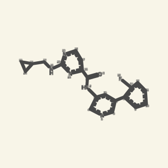 O=C(Nc1cncc(-c2ccccc2F)c1)c1ccnc(NCC2CC2)n1